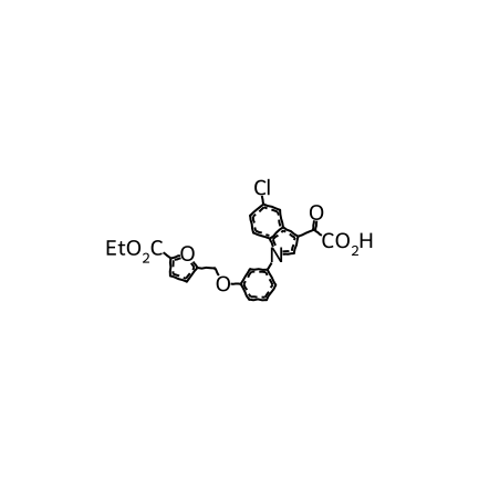 CCOC(=O)c1ccc(COc2cccc(-n3cc(C(=O)C(=O)O)c4cc(Cl)ccc43)c2)o1